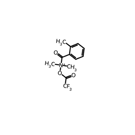 Cc1ccccc1C(=O)[N+](C)(C)OC(=O)C(F)(F)F